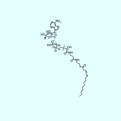 CCCCCCCCCC=C=CCC(=O)SCCNC(=O)CCNC(=O)[C@H](O)C(C)(C)COP(=O)(O)OP(=O)(O)OC[C@H]1O[C@H](n2cnc3c(N)ncnc32)[C@H](O)[C@@H]1OP(=O)(O)O